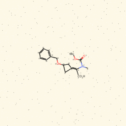 CN(C(=O)OC(C)(C)C)C(C(=O)O)=C1CC(OCc2ccccc2)C1